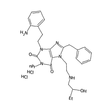 CCCn1c(=O)c2c(nc(Cc3ccccc3)n2CCNCC(O)CC)n(CCc2ccccc2N)c1=O.Cl.Cl